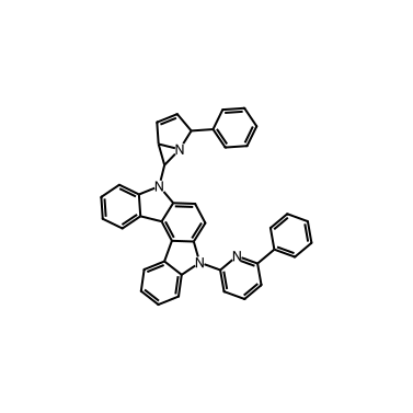 C1=CC2C(n3c4ccccc4c4c5c6ccccc6n(-c6cccc(-c7ccccc7)n6)c5ccc43)N2C1c1ccccc1